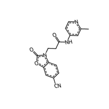 Cc1cc(NC(=O)CCn2c(=O)oc3cc(C#N)ccc32)ccn1